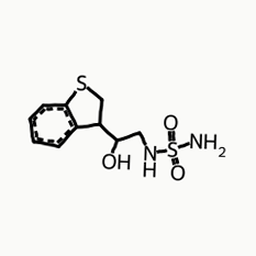 NS(=O)(=O)NCC(O)C1CSc2ccccc21